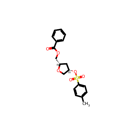 Cc1ccc(S(=O)(=O)O[C@@H]2CO[C@H](COC(=O)c3ccccc3)C2)cc1